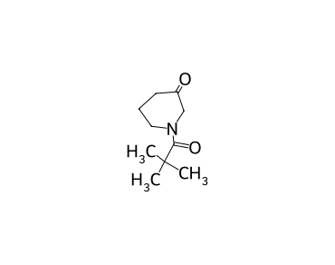 CC(C)(C)C(=O)N1CCCC(=O)C1